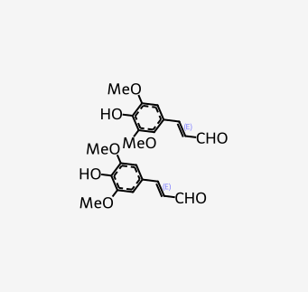 COc1cc(/C=C/C=O)cc(OC)c1O.COc1cc(/C=C/C=O)cc(OC)c1O